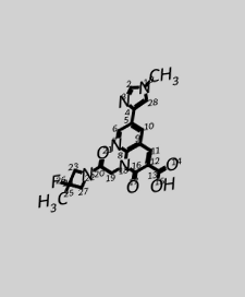 Cn1cnc(-c2cnc3c(c2)cc(C(=O)O)c(=O)n3CC(=O)N2CC(C)(F)C2)c1